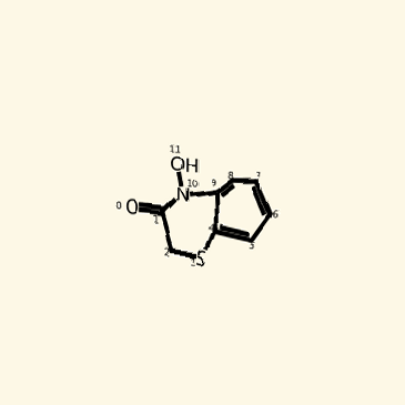 O=C1CSc2ccccc2N1O